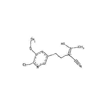 COc1cc(CC[N+](C#N)=S(C)O)cnc1Cl